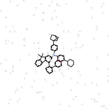 CC1(C)c2ccccc2-c2c(-c3ccccc3-c3ccccc3)cc(N(c3ccc(C4CCCCC4)cc3)c3ccc(C45CCC(CC4)C5)cc3)cc21